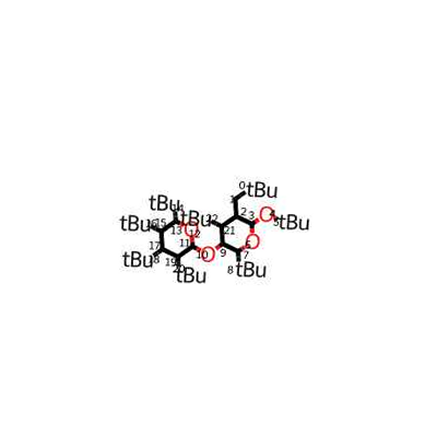 CC(C)(C)CC1C(OC(C)(C)C)OC(C(C)(C)C)C(OC2OC(C(C)(C)C)C(C(C)(C)C)C(C(C)(C)C)C2C(C)(C)C)C1C(C)(C)C